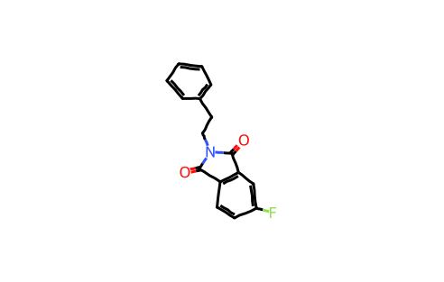 O=C1c2ccc(F)cc2C(=O)N1CCc1ccccc1